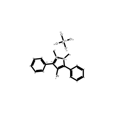 CC(C)c1c(-c2ccccc2)n(C)[n+](C)c1-c1ccccc1.[O-][Cl+3]([O-])([O-])[O-]